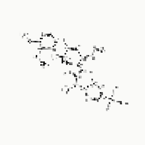 CN/C(Cc1ccc(OC)c(OC)c1)=N\C(=C/C=O)c1cn(C(C)c2ccc(C(F)(F)F)cc2F)cn1